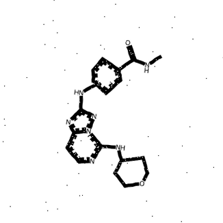 CNC(=O)c1ccc(Nc2nc3ccnc(NC4CCOCC4)n3n2)cc1